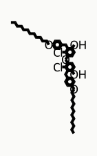 CCCCCCCCCCCCOc1ccc(Cc2c(O)ccc(Oc3ccc(O)c(Cc4ccc(OCCCCCCCCCCCC)cc4)c3Cl)c2Cl)cc1